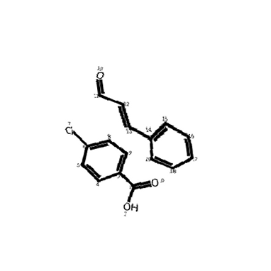 O=C(O)c1ccc(Cl)cc1.O=CC=Cc1ccccc1